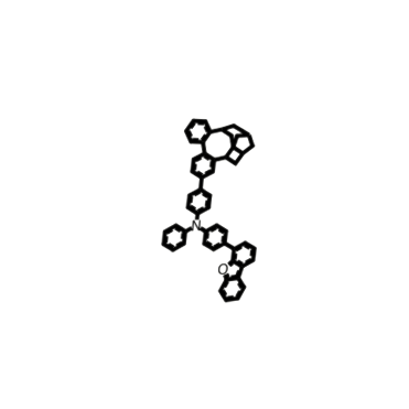 c1ccc(N(c2ccc(-c3ccc4c(c3)C3CC5CC6CC(CC53C6)c3ccccc3-4)cc2)c2ccc(-c3cccc4c3oc3ccccc34)cc2)cc1